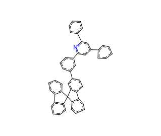 c1ccc(-c2cc(-c3ccccc3)nc(-c3cccc(-c4ccc5c(c4)C4(c6ccccc6-c6ccccc64)c4ccccc4-5)c3)c2)cc1